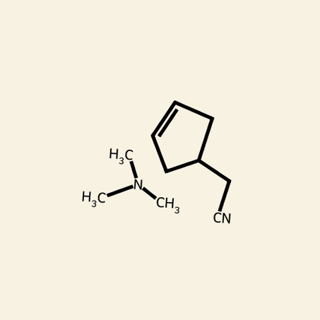 CN(C)C.N#CCC1CC=CC1